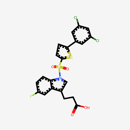 O=C(O)CCc1cn(S(=O)(=O)c2ccc(-c3cc(Cl)cc(Cl)c3)s2)c2ccc(F)cc12